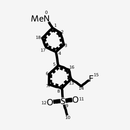 CNc1ccc(-c2c[c]c(S(C)(=O)=O)c(CF)c2)cc1